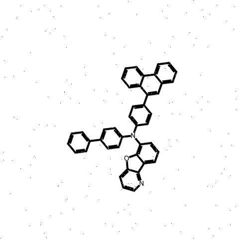 c1ccc(-c2ccc(N(c3ccc(-c4cc5ccccc5c5ccccc45)cc3)c3cccc4c3oc3cccnc34)cc2)cc1